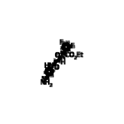 CCOC(=O)C(C)(NC(=O)CCC(=O)Nc1ccc(C=NN)cc1)c1cc(F)cc(F)c1